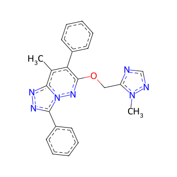 Cc1c(-c2ccccc2)c(OCc2ncnn2C)nn2c(-c3ccccc3)nnc12